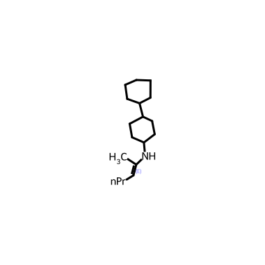 CCC/C=C(\C)NC1CCC(C2CCCCC2)CC1